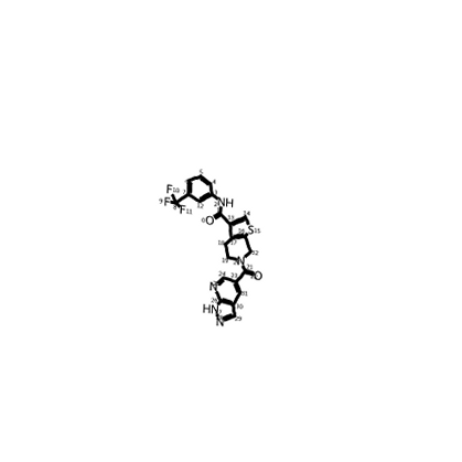 O=C(Nc1cccc(C(F)(F)F)c1)c1csc2c1CCN(C(=O)c1cnc3[nH]ncc3c1)C2